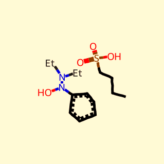 CCCCS(=O)(=O)O.CCN(CC)N(O)c1ccccc1